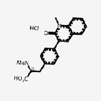 CN[C@@H](Cc1ccc(-c2cc3ccccc3n(C)c2=O)cc1)C(=O)O.Cl